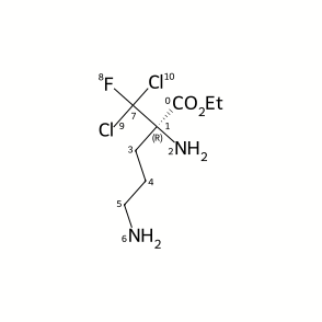 CCOC(=O)[C@](N)(CCCN)C(F)(Cl)Cl